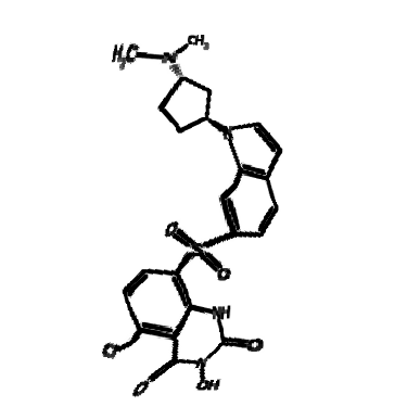 CN(C)[C@H]1CC[C@H](n2ccc3ccc(S(=O)(=O)c4ccc(Cl)c5c(=O)n(O)c(=O)[nH]c45)cc32)C1